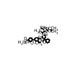 COC(=O)c1ccc(C2=CC[C@]3(C)CN(C(=O)C4(c5ccccc5)CCN(C(=O)[C@@H](CC(C)C)NC(=O)OC(C)(C)C)CC4)CC=C3C2(C)C)cc1